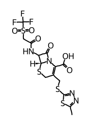 Cc1nnc(SCC2=C(C(=O)O)N3C(=O)C(NC(=O)CS(=O)(=O)C(F)(F)F)[C@H]3SC2)s1